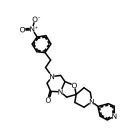 O=C1CN(CCc2ccc([N+](=O)[O-])cc2)CC2OC3(CCN(c4ccncc4)CC3)CN12